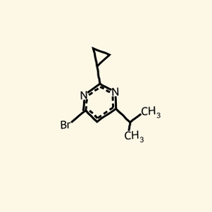 CC(C)c1cc(Br)nc(C2CC2)n1